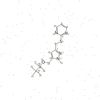 Cn1nc(CSc2ncccn2)cc1CO[Si](C)(C)C(C)(C)C